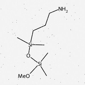 CO[Si](C)(C)O[Si](C)(C)CCCN